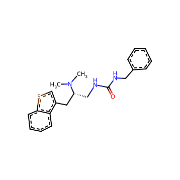 CN(C)[C@H](CNC(=O)NCc1ccccc1)Cc1csc2ccccc12